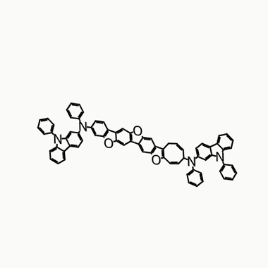 C1=C\C(N(c2ccccc2)c2ccc3c4ccccc4n(-c4ccccc4)c3c2)/C=C\c2oc3cc4c(cc3c2C/1)oc1cc2c(cc14)oc1cc(N(c3ccccc3)c3ccc4c5ccccc5n(-c5ccccc5)c4c3)ccc12